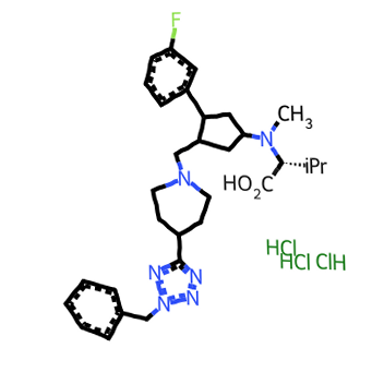 CC(C)[C@H](C(=O)O)N(C)C1CC(CN2CCC(c3nnn(Cc4ccccc4)n3)CC2)C(c2cccc(F)c2)C1.Cl.Cl.Cl